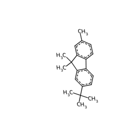 Cc1ccc2c(c1)C(C)(C)c1cc(C(C)(C)C)ccc1-2